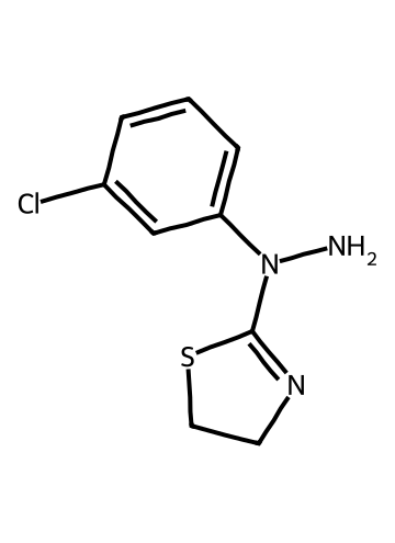 NN(C1=NCCS1)c1cccc(Cl)c1